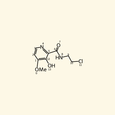 COc1ccnc(C(=O)NCCCl)c1O